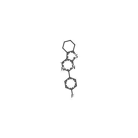 Fc1ccc(-c2n[c]c3c4c(sc3n2)CCCC4)cc1